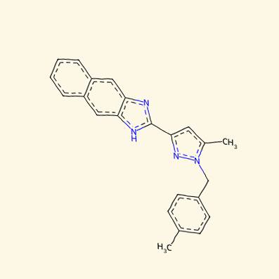 Cc1ccc(Cn2nc(-c3nc4cc5ccccc5cc4[nH]3)cc2C)cc1